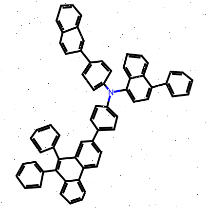 c1ccc(-c2ccc(N(c3ccc(-c4ccc5ccccc5c4)cc3)c3ccc(-c4ccc5c(c4)c(-c4ccccc4)c(-c4ccccc4)c4ccccc45)cc3)c3ccccc23)cc1